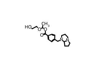 CC(OCCO)OC(=O)c1ccc(CN2CCCN3CCCC32)cc1